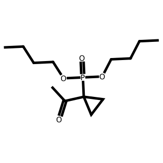 CCCCOP(=O)(OCCCC)C1(C(C)=O)CC1